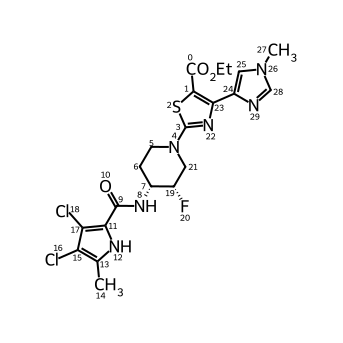 CCOC(=O)c1sc(N2CC[C@@H](NC(=O)c3[nH]c(C)c(Cl)c3Cl)[C@@H](F)C2)nc1-c1cn(C)cn1